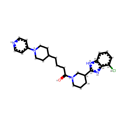 O=C(CCCC1CCN(c2ccncc2)CC1)N1CCCC(c2nc3c(Cl)cccc3[nH]2)C1